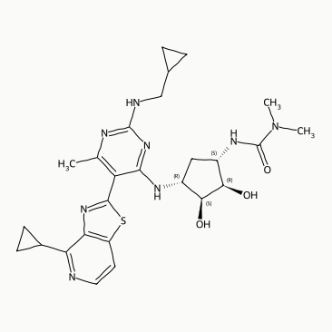 Cc1nc(NCC2CC2)nc(N[C@@H]2C[C@H](NC(=O)N(C)C)[C@@H](O)[C@H]2O)c1-c1nc2c(C3CC3)nccc2s1